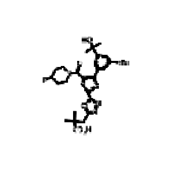 CC(C)(Cc1nnc(-c2nc(C(=O)N3CCC(F)CC3)c(-c3cc(C(C)(C)C)cc(C(C)(C)O)c3)s2)o1)C(=O)O